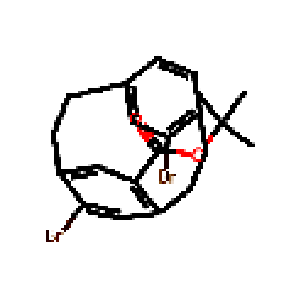 CC(C)(C)OC(=O)c1cc2c(Br)cc1CCc1ccc(cc1Br)CC2